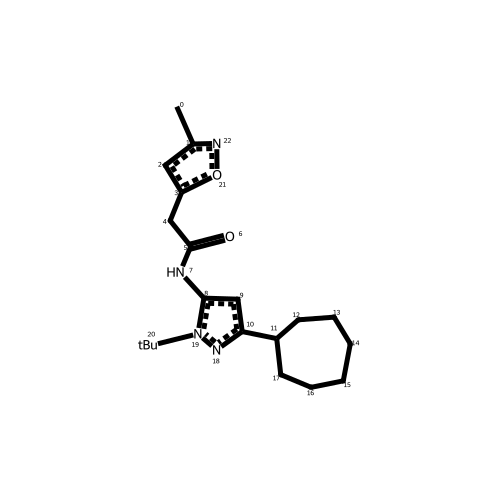 Cc1cc(CC(=O)Nc2cc(C3CC[CH]CCC3)nn2C(C)(C)C)on1